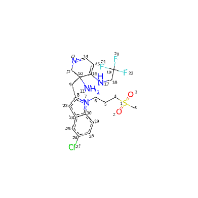 CS(=O)(=O)CCCn1c(CC2(N)CN=CC=C2NCC(F)(F)F)cc2cc(Cl)ccc21